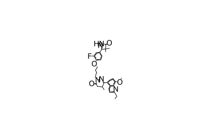 CCc1ccc2c(C3=NN(CCCCOc4ccc(C5=NNC(=O)C5(C)C)cc4F)C(=O)CC3C)ccc(OC)c2n1